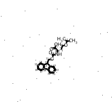 CC(C)OCC[C@H](NC(=O)OCC1c2ccccc2-c2ccccc21)C(=O)O